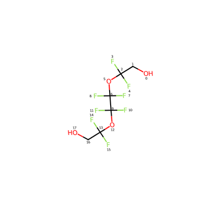 OCC(F)(F)OC(F)(F)C(F)(F)OC(F)(F)CO